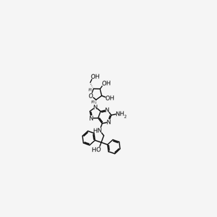 Nc1nc(NCC(O)(c2ccccc2)c2ccccc2)c2ncn([C@@H]3O[C@H](CO)C(O)C3O)c2n1